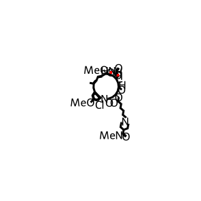 CNC(=O)C1CCN(CCCCCC(=O)O[C@H]2CC(=O)N(C)c3cc(cc(OC)c3Cl)C/C(C)=C/C=C/[C@@H](OC)[C@@]3(O)C[C@H](OC(=O)N3)[C@@H](C)[C@@H]3O[C@@]23C)CC1